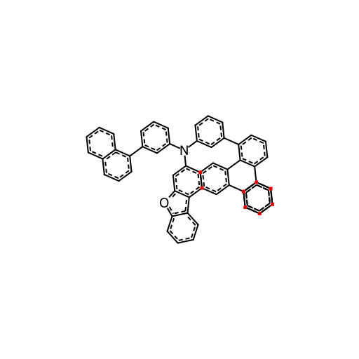 c1ccc(-c2ccccc2-c2c(-c3ccccc3)cccc2-c2cccc(N(c3cccc(-c4cccc5ccccc45)c3)c3ccc4c(c3)oc3ccccc34)c2)cc1